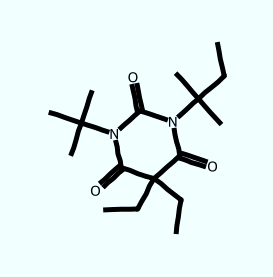 CCC1(CC)C(=O)N(C(C)(C)C)C(=O)N(C(C)(C)CC)C1=O